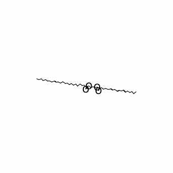 CCCCCC=CCC=CCC=CCCCCC(=O)OCCCOC(=O)CCCCCCCCCCCCCC=CCCCCCCCC